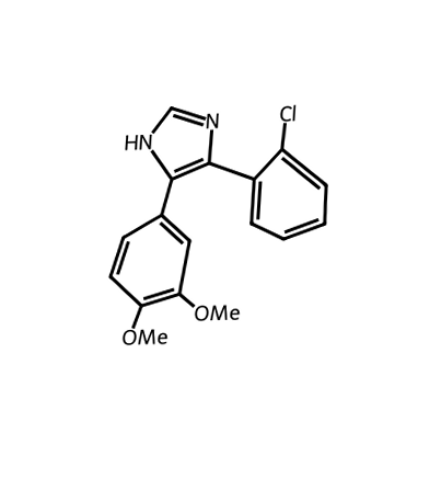 COc1ccc(-c2[nH]cnc2-c2ccccc2Cl)cc1OC